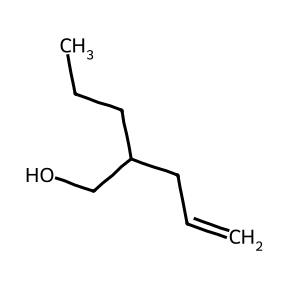 C=CCC(CO)CCC